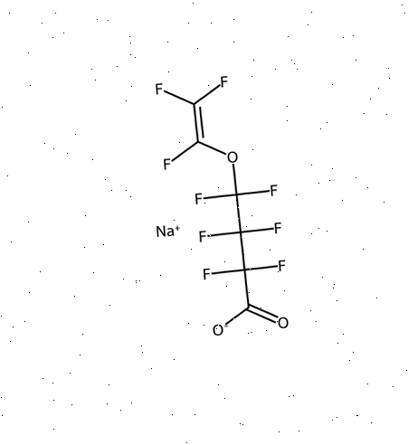 O=C([O-])C(F)(F)C(F)(F)C(F)(F)OC(F)=C(F)F.[Na+]